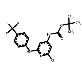 CC(C)(C)OC(=O)Nc1cc(Cl)nc(Nc2ccc(C(F)(F)F)cc2)c1